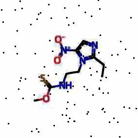 CCc1ncc([N+](=O)[O-])n1CCNC(=S)OC